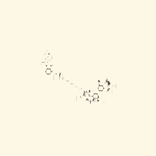 COc1cc(-c2cn(C)c(=O)c3c2CCN(C(=O)NCCCCCCCCNC(=O)COc2cccc4c2C(=O)N(C2CCC(=O)NC2=O)C4=O)C3C(=O)O)cc(OC)c1CN(C)C